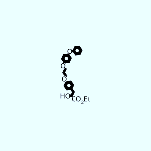 CCOC(=O)[C@@H](O)Cc1ccc(OCCCOc2ccc(Oc3ccccc3)cc2)cc1